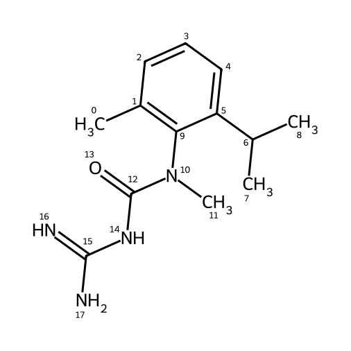 Cc1cccc(C(C)C)c1N(C)C(=O)NC(=N)N